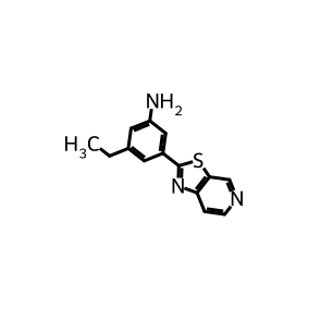 CCc1cc(N)cc(-c2nc3ccncc3s2)c1